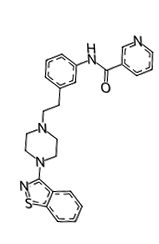 O=C(Nc1cccc(CCN2CCN(c3nsc4ccccc34)CC2)c1)c1cccnc1